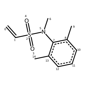 C=CS(=O)(=O)N(C)c1c(C)cccc1C